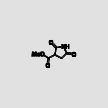 COC(=O)C1CC(=O)NC1=O